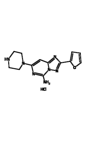 Cl.Nc1nc(N2CCNCC2)cc2nc(-c3ccco3)nn12